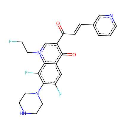 O=C(C=Cc1cccnc1)c1cn(CCF)c2c(F)c(N3CCNCC3)c(F)cc2c1=O